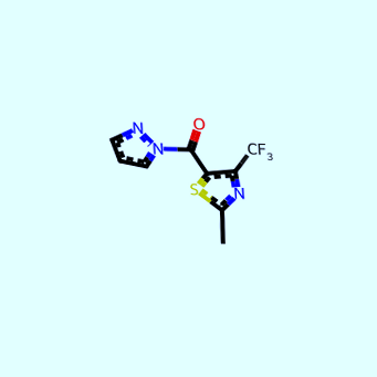 Cc1nc(C(F)(F)F)c(C(=O)n2cccn2)s1